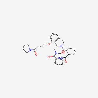 NC(=O)[C@@H]1CCCCC1C(=O)N1CCc2cccc(OCCCC(=O)N3CCCC3)c2[C@H]1CN1C(=O)c2ccccc2C1=O